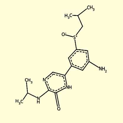 CC(C)C[S+]([O-])c1cc(N)cc(-c2cnc(NC(C)C)c(=O)[nH]2)c1